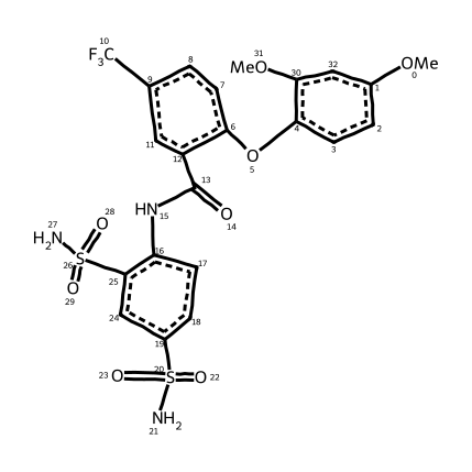 COc1ccc(Oc2ccc(C(F)(F)F)cc2C(=O)Nc2ccc(S(N)(=O)=O)cc2S(N)(=O)=O)c(OC)c1